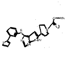 CC(C)(C)OC(=O)N1CC=C(c2cc3c(Nc4cccc(-c5cccs5)c4)ncnc3[nH]2)CC1